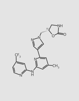 Cc1cc(Nc2cc(C(F)(F)F)ccn2)nc(-c2cnn(C[C@@H]3CNC(=O)O3)c2)c1